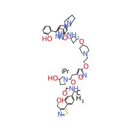 CC(C)[C@@H](C(=O)N1C[C@H](O)C[C@H]1C(=O)N[C@@H](C)c1ccc(-c2scnc2CO)cc1)c1cc(OCCN2CCC(O[C@H]3C[C@H](Oc4cc(N5C6CCC5CN(c5cc(-c7ccccc7O)nnc5N)C6)ccn4)C3)CC2)no1